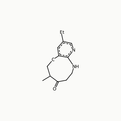 CCc1cnc2c(c1)CCC(C)C(=O)CCN2